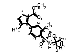 COC(=O)c1scc(C)c1-c1ccc(S(=O)(=O)NC(C)(C)C)c(C)c1